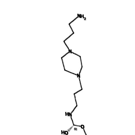 CC(C)(C)O[C@H](O)NCCCN1CCN(CCCN)CC1